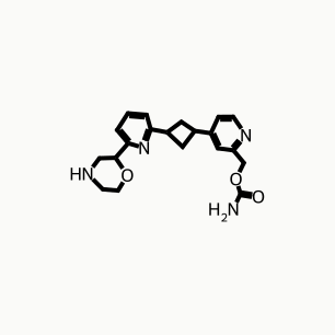 NC(=O)OCc1cc(C2CC(c3cccc(C4CNCCO4)n3)C2)ccn1